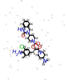 Cc1cc(C[C@@H](OC(=O)N2CCC(N3Cc4ccccc4NC3=O)CC2)C(=O)N2CCC(N(C)C)CC2)cc(Cl)c1N